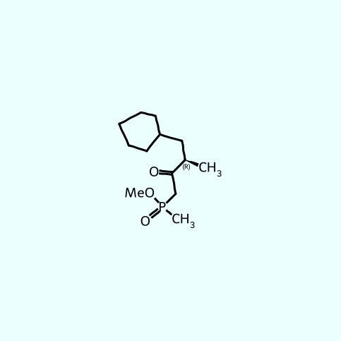 COP(C)(=O)CC(=O)[C@H](C)CC1CCCCC1